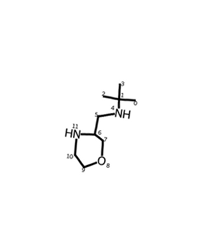 CC(C)(C)NCC1COCCN1